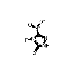 O=c1[nH]nc([N+](=O)[O-])n1F